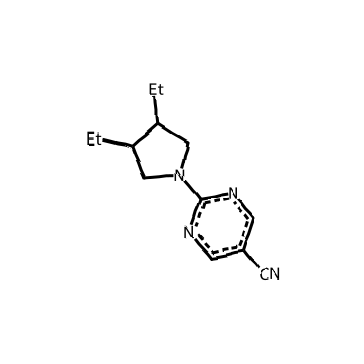 CCC1CN(c2ncc(C#N)cn2)CC1CC